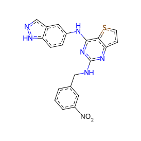 O=[N+]([O-])c1cccc(CNc2nc(Nc3ccc4[nH]ncc4c3)c3sccc3n2)c1